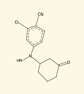 CCCN(c1ccc(C#N)c(Cl)c1)C1CCCC(=O)C1